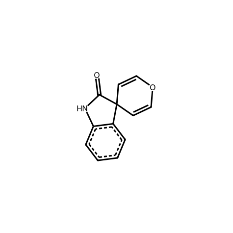 O=C1Nc2ccccc2C12C=COC=C2